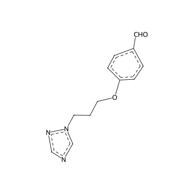 O=Cc1ccc(OCCCn2cncn2)cc1